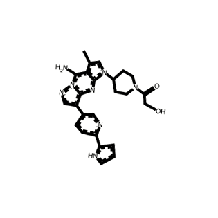 Cc1cn(C2CCN(C(=O)CO)CC2)c2nc3c(-c4ccc(-c5ccc[nH]5)nc4)cnn3c(N)c12